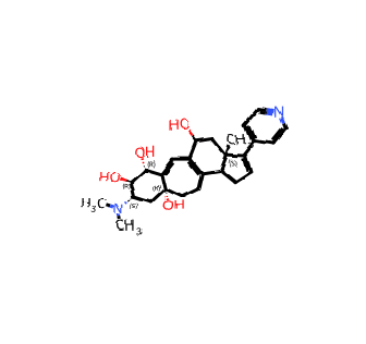 CN(C)[C@H]1C[C@]2(O)CCC3=C(C=C2[C@@H](O)[C@@H]1O)C(O)C[C@]1(C)C(c2ccncc2)=CCC31